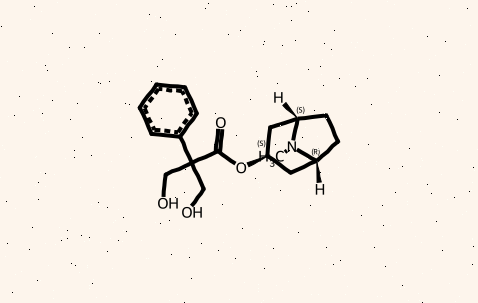 CN1[C@@H]2CC[C@H]1C[C@H](OC(=O)C(CO)(CO)c1ccccc1)C2